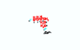 O.O.O.O.O.O.[Co+2].[F-].[F-]